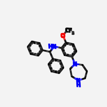 FC(F)(F)Oc1ccc(N2CCCNCC2)cc1NC(c1ccccc1)c1ccccc1